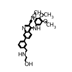 COc1cc(Nc2c(C#N)cnc3cc(-c4cccc(CNCCO)c4)ccc23)cc(OC)c1OC